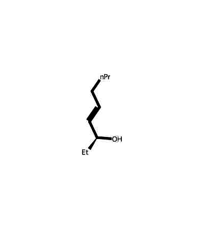 CCCC/C=C/[C@@H](O)CC